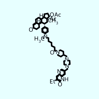 CCc1cc2ncc(CN3CCN(CC4CCN(C(=O)CCCCCN(C)c5ccc([C@H]6C[C@@]7(C)[C@@H](CC[C@]7(OC(C)=O)C(C)=O)[C@@H]7CCC8=CC(=O)CCC8=C76)cc5)CC4)CC3)cc2[nH]c1=O